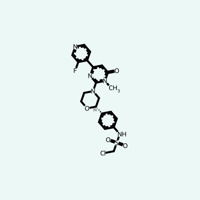 Cn1c(N2CCO[C@@H](c3ccc(NS(=O)(=O)CCl)cc3)C2)nc(-c2ccncc2F)cc1=O